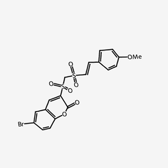 COc1ccc(/C=C/S(=O)(=O)CS(=O)(=O)c2cc3cc(Br)ccc3oc2=O)cc1